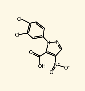 O=C(O)c1c([N+](=O)[O-])cnn1-c1ccc(Cl)c(Cl)c1